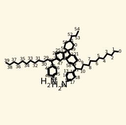 CCCCCCCCCCCC(c1ccc(N)cc1)c1ccc(C2(c3ccc(C(CCCCCCCCCCC)c4ccc(N)cc4)cc3)CCC(CCC)CC2)cc1